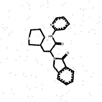 O=C(Nc1ccccn1)C(CC1CCCCC1)N1Cc2ccccc2C1=O